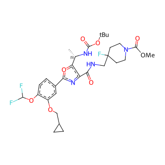 COC(=O)N1CCC(F)(CNC(=O)c2nc(-c3ccc(OC(F)F)c(OCC4CC4)c3)oc2[C@H](C)NC(=O)OC(C)(C)C)CC1